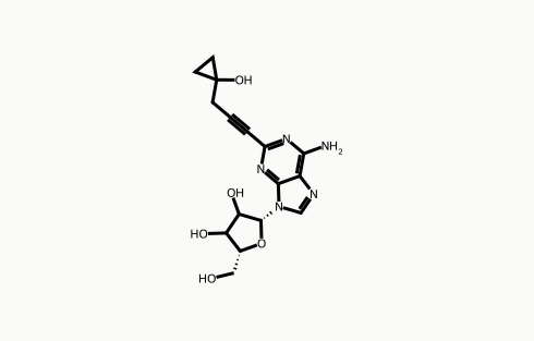 Nc1nc(C#CCC2(O)CC2)nc2c1ncn2[C@@H]1O[C@H](CO)C(O)C1O